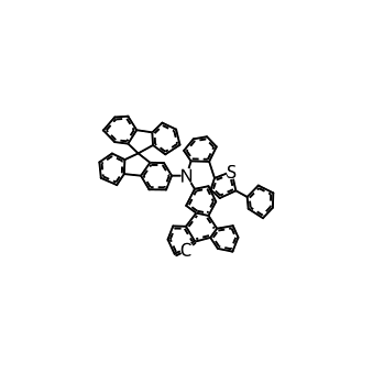 c1ccc(-c2ccc(-c3ccccc3N(c3ccc4c(c3)C3(c5ccccc5-c5ccccc53)c3ccccc3-4)c3ccc4c5ccccc5c5ccccc5c4c3)s2)cc1